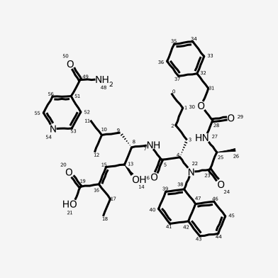 CCCC[C@@H](C(=O)N[C@@H](CC(C)C)[C@@H](O)/C=C(\CC)C(=O)O)N(C(=O)[C@H](C)NC(=O)OCc1ccccc1)c1cccc2ccccc12.NC(=O)c1ccncc1